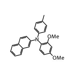 COc1ccc(N(c2ccc(C)cc2)c2ccc3ccccc3c2)c(OC)c1